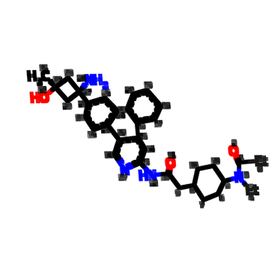 CCC(=O)N(CC)C1CCC(CC(=O)Nc2cc(-c3ccccc3)c(-c3ccc([C@]4(N)C[C@](C)(O)C4)cc3)cn2)CC1